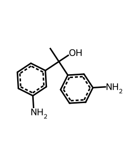 CC(O)(c1cccc(N)c1)c1cccc(N)c1